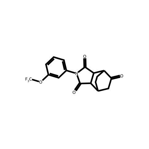 O=C1CC2CCC1C1C(=O)N(c3cccc(OC(F)(F)F)c3)C(=O)C21